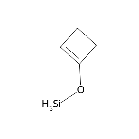 [SiH3]OC1=CCC1